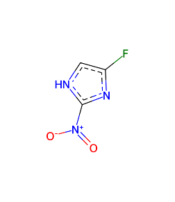 O=[N+]([O-])c1nc(F)c[nH]1